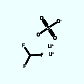 FC(F)F.O=S(=O)([O-])[O-].[Li+].[Li+]